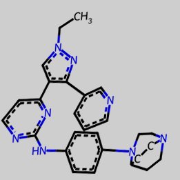 CCn1cc(-c2ccnc(Nc3ccc(N4CCN5CCC4CC5)cc3)n2)c(-c2cccnc2)n1